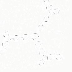 c1ccc2c(c1)oc1cc3c(cc12)c1ccccc1n3-c1ccc(-c2ccc(-c3cc(-c4ccc(-c5ccc(-n6c7ccccc7c7cc8c(cc76)oc6ccccc68)cc5)cc4)nc(-c4ccc(-c5ccc(-n6c7ccccc7c7cc8c(cc76)oc6ccccc68)cc5)cc4)n3)cc2)cc1